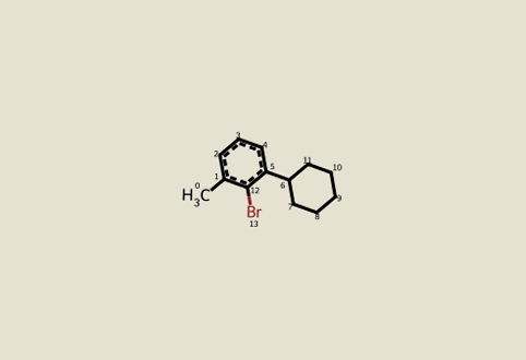 Cc1cccc(C2CCCCC2)c1Br